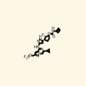 O=C(NC12CC(C1)C2)O[C@H]1CC[C@@H](c2cc(Nc3nc(C4CC4)cn4nc(COC(F)(F)F)cc34)n[nH]2)[C@@H]1F